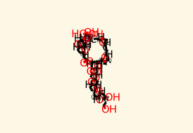 C=C1C[C@@H]2CC[C@]34OC([C@@H]5O[C@H]6CC[C@H](CC(=O)O[C@@H]7CC8OC9C[C@]%10(C[C@@H]%11O[C@@]%12(CC[C@@H]%11O%10)C[C@H](C)[C@@H]%10O[C@H](CCO)[C@H](O)C[C@@H]%10O%12)O[C@@H]9O[C@@H]8O[C@H]7C[C@H]7O[C@@H](CC[C@@H]1O2)C[C@@H](C)C7=C)O[C@@H]6[C@H](O3)[C@@H]5I)C(O)(O)[C@H]4O